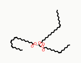 CCCCC/C=C\C/C=C\C/C=C\CCCCCCCCC(=O)OC[C@@H](COC(=O)CCCCCCC/C=C\CCCCCC)OC(=O)CCCCCCCCCCC/C=C\CCCCCCCC